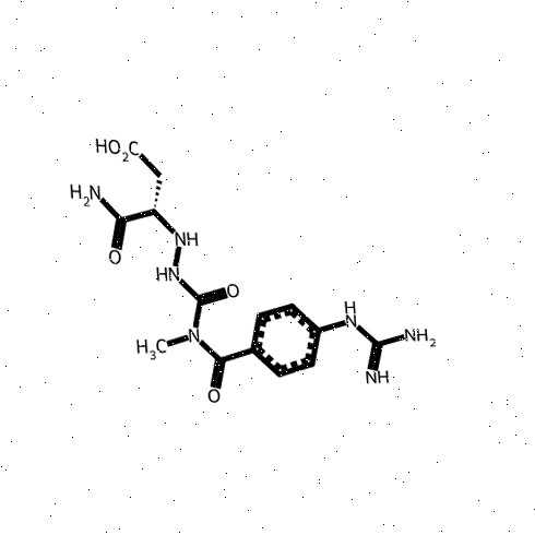 CN(C(=O)NN[C@@H](CC(=O)O)C(N)=O)C(=O)c1ccc(NC(=N)N)cc1